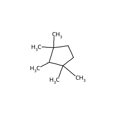 C[C]1C(C)(C)CCC1(C)C